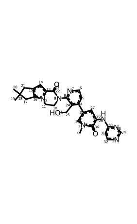 Cn1cc(-c2ccnc(N3CCn4c(cc5c4CC(C)(C)C5)C3=O)c2CO)cc(Nc2ccncn2)c1=O